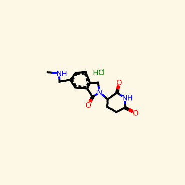 CNCc1ccc2c(c1)C(=O)N(C1CCC(=O)NC1=O)C2.Cl